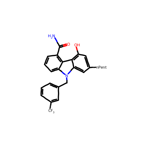 CCCCCc1cc(O)c2c3c(C(N)=O)cccc3n(Cc3cccc(C(F)(F)F)c3)c2c1